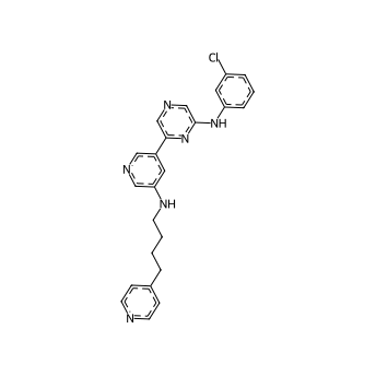 Clc1cccc(Nc2cncc(-c3cncc(NCCCCc4ccncc4)c3)n2)c1